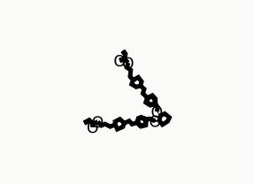 C=CC(=O)OCCCC1CCC(CCc2ccc(CO[C@@H]3CCCC[C@H]3OCc3ccc(CCC4CCC(CCCOC(=O)C=C)CC4)cc3)cc2)CC1